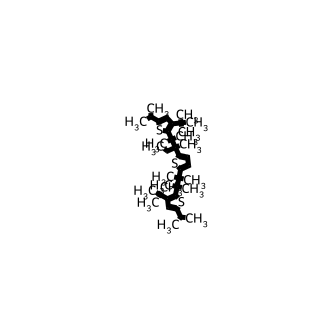 CCC(C)(c1ccc(C(C)(C)C(C)(C)c2sc(C(C)C)cc2C(C)(C)C)s1)C(C)(C)c1sc(C(C)C)cc1C(C)(C)C